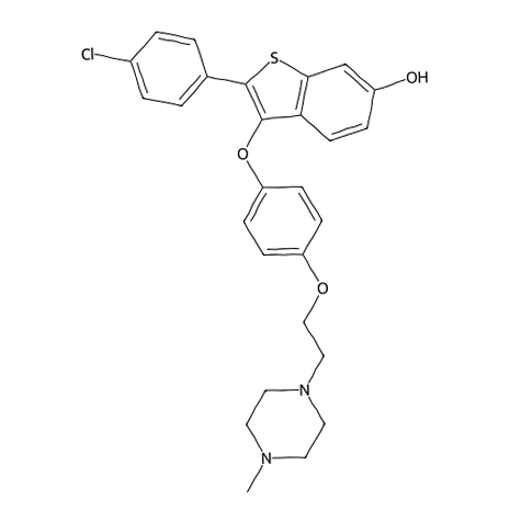 CN1CCN(CCOc2ccc(Oc3c(-c4ccc(Cl)cc4)sc4cc(O)ccc34)cc2)CC1